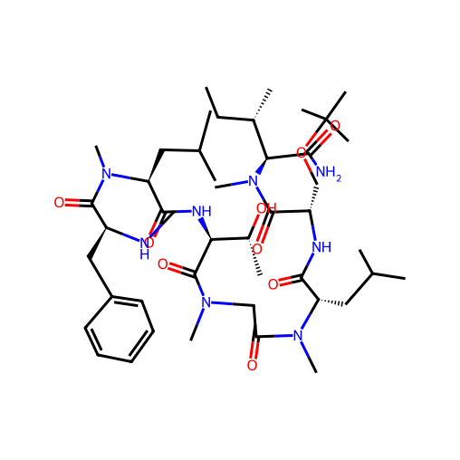 CC[C@H](C)[C@@H](C(N)=O)N(C)C(=O)[C@H](COC(C)(C)C)NC(=O)[C@H](CC(C)C)N(C)C(=O)CN(C)C(=O)[C@@H](NC(=O)[C@H](CC(C)C)N(C)C(=O)[C@H](Cc1ccccc1)NC)[C@@H](C)O